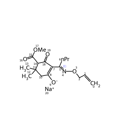 C=CCO/N=C(\CCC)C1=C([O-])CC(C)(C)C(C(=O)OC)C1=O.[Na+]